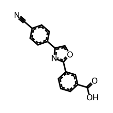 N#Cc1ccc(-c2coc(-c3cccc(C(=O)O)c3)n2)cc1